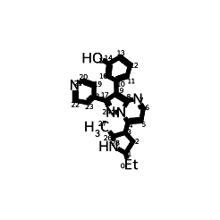 CCC1CC(c2ccnc3c(-c4cccc(O)c4)c(-c4ccncc4)nn23)C(C)N1